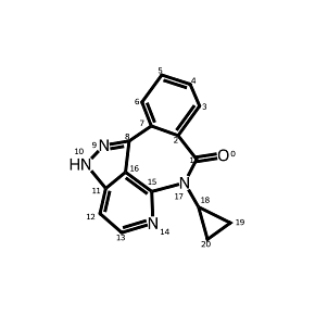 O=C1c2ccccc2-c2n[nH]c3ccnc(c23)N1C1CC1